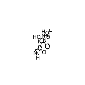 CC(C)(C)OC(=O)Nc1nc(-c2ccccc2)c(-c2cc(Cl)c3[nH]ncc3c2)nc1O